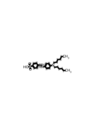 CCCCCCN(CCCCCC)c1ccc(NNc2ccc(S(=O)(=O)O)cc2)cc1